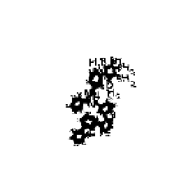 Bc1c(B)c(B)c(-c2cccc(-c3nc(-c4ccccc4)nc(-c4ccc5oc6cccc(-c7cccc8c7sc7ccccc78)c6c5c4)n3)c2)c(B)c1B